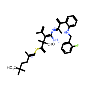 C=C(C)/C(=C(N)\N=C(/C)C(=C)c1ccccc1NCc1ccccc1F)C(C)(C=O)C(=C)S/C=C(\C)CCC(C)(C)C(=O)O